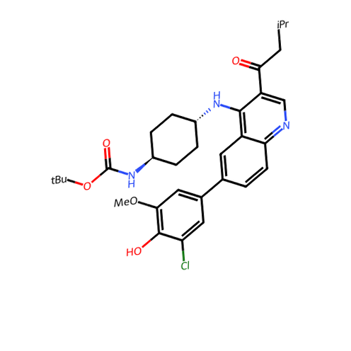 COc1cc(-c2ccc3ncc(C(=O)CC(C)C)c(N[C@H]4CC[C@H](NC(=O)OC(C)(C)C)CC4)c3c2)cc(Cl)c1O